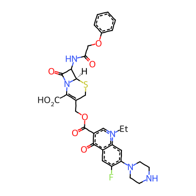 CCn1cc(C(=O)OCC2=C(C(=O)O)N3C(=O)C(NC(=O)COc4ccccc4)[C@H]3SC2)c(=O)c2cc(F)c(N3CCNCC3)cc21